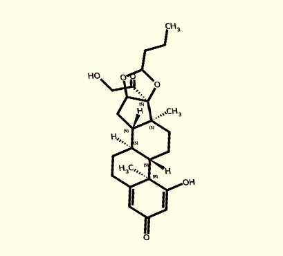 CCCC1OC2C[C@H]3[C@@H]4CCC5=CC(=O)C=C(O)[C@]5(C)[C@H]4CC[C@]3(C)[C@]2(C(=O)CO)O1